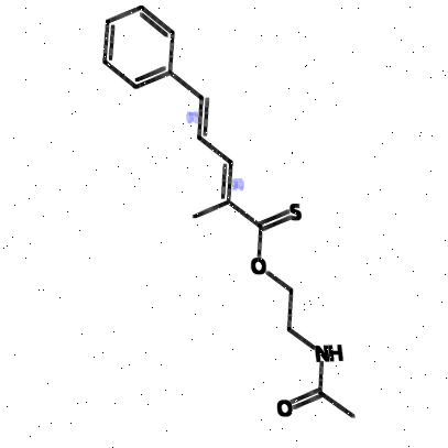 CC(=O)NCCOC(=S)/C(C)=C/C=C/c1ccccc1